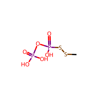 CSSP(=O)(O)OP(=O)(O)O